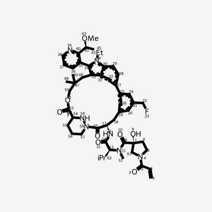 C=CC(=O)N1CC[C@](O)(C(=O)N(C)[C@H](C(=O)N[C@H]2Cc3cc(CF)cc(c3)-c3ccc4c(c3)c(c(-c3cccnc3[C@H](C)OC)n4CC)CC(C)(C)COC(=O)[C@@H]3CCCN(N3)C2=O)C(C)C)C1